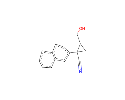 N#CC1(c2ccc3ccccc3c2)CC1CO